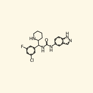 O=C(Nc1ccc2[nH]ncc2c1)NC(c1cc(F)cc(Cl)c1)C1CCCCN1